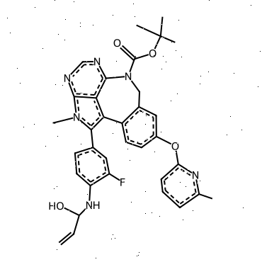 C=CC(O)Nc1ccc(-c2c3c4c(ncnc4n2C)N(C(=O)OC(C)(C)C)Cc2cc(Oc4cccc(C)n4)ccc2-3)cc1F